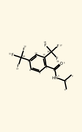 CC(C)NC(=O)c1ccc(C(F)(F)F)cc1C(F)(F)F